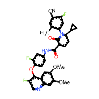 COc1cc2ncc(F)c(Oc3ccc(NC(=O)c4ccc(C5CC5)n(-c5cc(F)c(C#N)cc5C)c4=O)cc3F)c2cc1OC